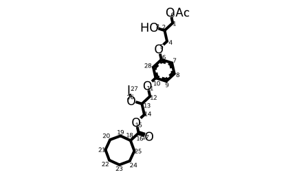 CC(=O)OCC(O)COc1cccc(OCC(COC(=O)C2CCCCCCC2)OI)c1